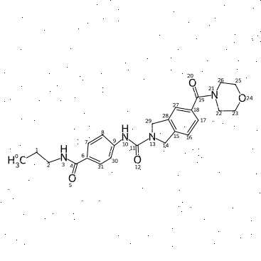 CCCNC(=O)c1ccc(NC(=O)N2Cc3ccc(C(=O)N4CCOCC4)cc3C2)cc1